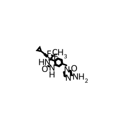 CC(F)(F)[C@@]1(C#CC2CC2)NC(=O)Nc2cc(Cn3ccnc(N)c3=O)ccc21